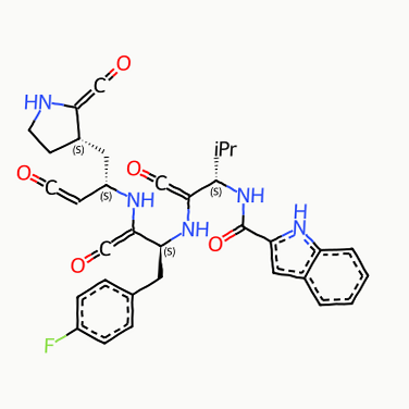 CC(C)[C@H](NC(=O)c1cc2ccccc2[nH]1)C(=C=O)N[C@@H](Cc1ccc(F)cc1)C(=C=O)N[C@H](C=C=O)C[C@@H]1CCNC1=C=O